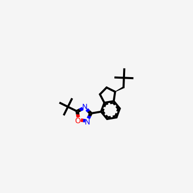 CC(C)(C)C[C@@H]1CCc2c(-c3noc(C(C)(C)C)n3)cccc21